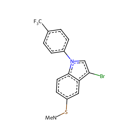 CNSc1ccc2c(c1)c(Br)cn2-c1ccc(C(F)(F)F)cc1